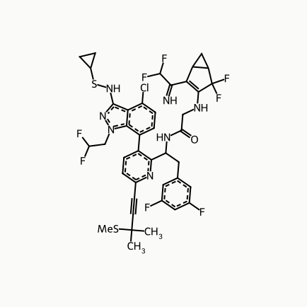 CSC(C)(C)C#Cc1ccc(-c2ccc(Cl)c3c(NSC4CC4)nn(CC(F)F)c23)c(C(Cc2cc(F)cc(F)c2)NC(=O)CNC2=C(C(=N)C(F)F)C3CC3C2(F)F)n1